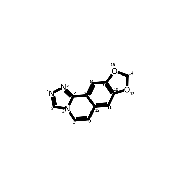 c1cn2cnnc2c2cc3c(cc12)OCO3